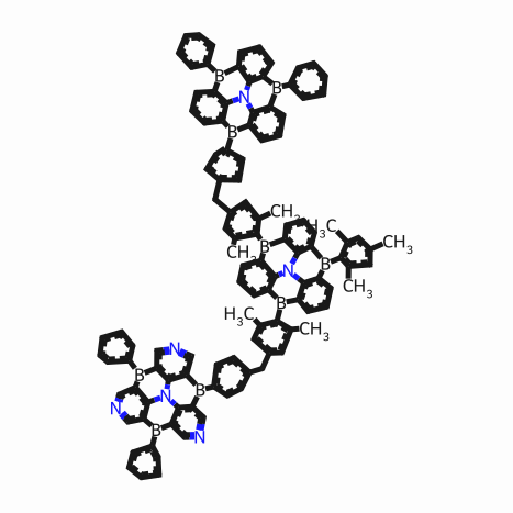 Cc1cc(C)c(B2c3cccc4c3N3c5c2cccc5B(c2c(C)cc(Cc5ccc(B6c7cncc8c7N7c9c(cncc9B(c9ccccc9)c9cncc6c97)B8c6ccccc6)cc5)cc2C)c2cccc(c23)B4c2c(C)cc(Cc3ccc(B4c5cccc6c5N5c7c(cccc7B(c7ccccc7)c7cccc4c75)B6c4ccccc4)cc3)cc2C)c(C)c1